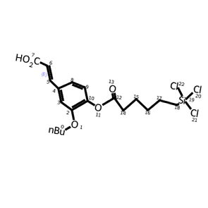 CCCCOc1cc(/C=C/C(=O)O)ccc1OC(=O)CCCCC[Si](Cl)(Cl)Cl